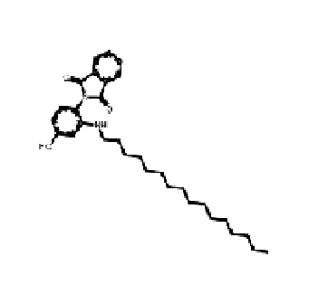 CCCCCCCCCCCCCCCCNc1cc(O)ccc1N1C(=O)c2ccccc2C1=O